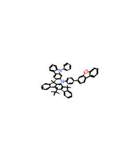 CC(C)(C)c1c2c(c(N(c3ccc(-c4ccc5c(c4)oc4ccccc45)cc3)c3ccc4c5ccccc5n(-c5ccccc5)c4c3)c3c1-c1ccccc1C3(C)C)C(C)(C)c1ccccc1-2